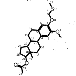 COc1cc2c(cc1OCSC)CCC1C2CCC2(C)C(OC(C)=O)CCC12